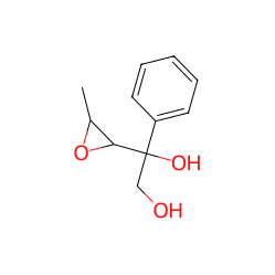 CC1OC1C(O)(CO)c1ccccc1